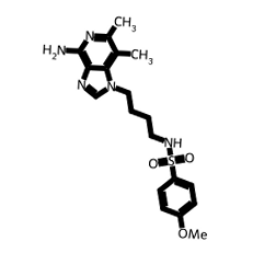 COc1ccc(S(=O)(=O)NCCCCn2cnc3c(N)nc(C)c(C)c32)cc1